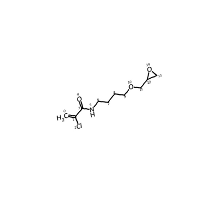 C=C(Cl)C(=O)NCCCCOCC1CO1